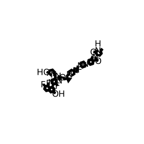 C=C1CC[C@H](N2Cc3cc(N4CCN(CC5(F)CC6(CCN(CC7(COc8nc(N9CCC[C@@](C)(O)C9)c9cnc(-c%10cc(O)cc%11ccc(F)c(F)c%10%11)c(F)c9n8)CC7)CC6)C5)CC4)ccc3C2=O)C(=O)N1